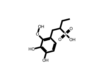 CCC(Cc1ccc(O)c(O)c1OO)S(=O)(=O)O